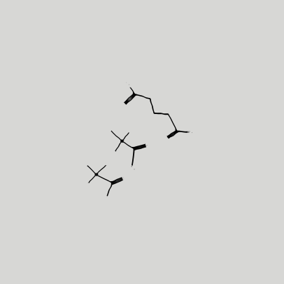 NC(=O)CCCC(N)=O.O=C(O)C(F)(F)F.O=C(O)C(F)(F)F